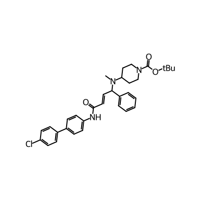 CN(C1CCN(C(=O)OC(C)(C)C)CC1)C(/C=C/C(=O)Nc1ccc(-c2ccc(Cl)cc2)cc1)c1ccccc1